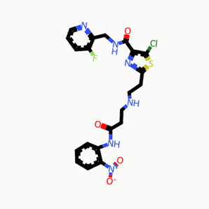 O=C(CCNCCc1nc(C(=O)NCc2ncccc2F)c(Cl)s1)Nc1ccccc1[N+](=O)[O-]